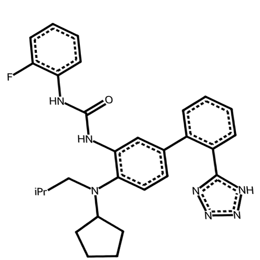 CC(C)CN(c1ccc(-c2ccccc2-c2nnn[nH]2)cc1NC(=O)Nc1ccccc1F)C1CCCC1